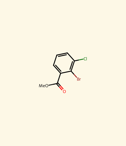 COC(=O)c1cccc(Cl)c1Br